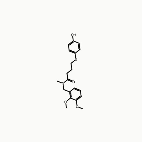 COc1cccc(CN(C)C(=O)CCCSc2ccc(O)cc2)c1OC